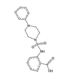 O=C(O)c1ccccc1NS(=O)(=O)N1CCN(c2ccccc2)CC1